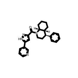 O=C(c1cc(-c2cccnc2)[nH]n1)N1CC[C@H](c2ccccc2)[C@H]2CCCC[C@H]21